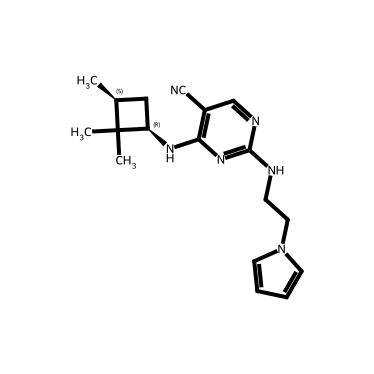 C[C@H]1C[C@@H](Nc2nc(NCCn3cccc3)ncc2C#N)C1(C)C